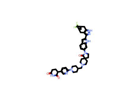 CC12Cc3[nH]nc(-c4cc5ccc(N6CCC7(CCN(CC8CCN(c9ccc(C%10CCC(=O)NC%10=O)cn9)CC8)CC7)C6=O)cc5[nH]4)c3CC1C2(F)F